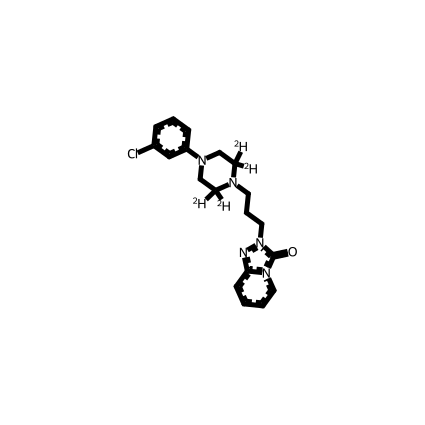 [2H]C1([2H])CN(c2cccc(Cl)c2)CC([2H])([2H])N1CCCn1nc2ccccn2c1=O